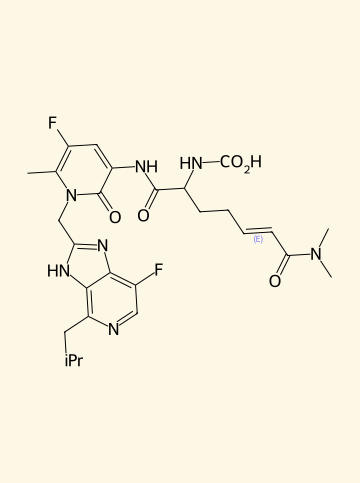 Cc1c(F)cc(NC(=O)C(CC/C=C/C(=O)N(C)C)NC(=O)O)c(=O)n1Cc1nc2c(F)cnc(CC(C)C)c2[nH]1